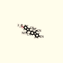 N#CC(C#N)=C1C(c2ccc3c(c2)C(=C(C#N)C#N)c2cc(C#N)ccc2-3)=C(C#N)c2ccc(OC(F)(F)F)cc21